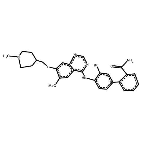 COc1cc2c(Nc3ccc(-c4ccccc4C(N)=O)cc3Br)ncnc2cc1OCC1CCN(C)CC1